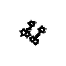 C(#CC12CCCN1CCC2)c1ccns1.C(=CC12CCCN1CCC2)c1ccns1